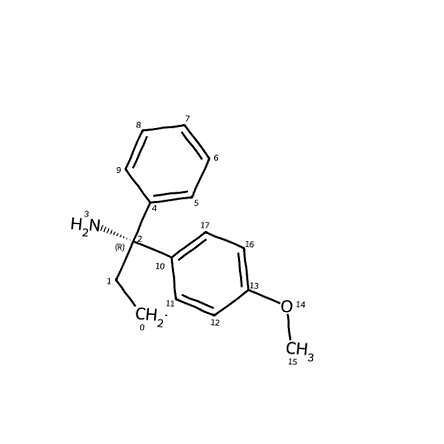 [CH2]C[C@@](N)(c1ccccc1)c1ccc(OC)cc1